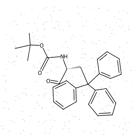 CC(C)(C)OC(=O)N[C@@H](C=O)CC(c1ccccc1)(c1ccccc1)c1ccccc1